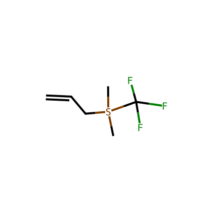 C=CCS(C)(C)C(F)(F)F